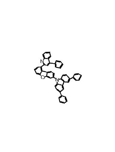 c1ccc(-c2ccc3c(c2)c2cc(-c4ccccc4)ccc2n3-c2ccc3c(c2)oc2cccc(-c4cc(-c5ccccc5)c5ccccc5n4)c23)cc1